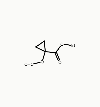 CCOC(=O)C1(OC=O)CC1